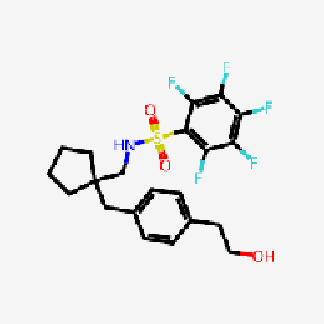 O=S(=O)(NCC1(Cc2ccc(CCO)cc2)CCCC1)c1c(F)c(F)c(F)c(F)c1F